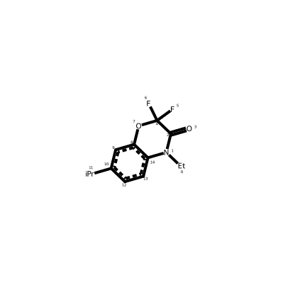 CCN1C(=O)C(F)(F)Oc2cc(C(C)C)ccc21